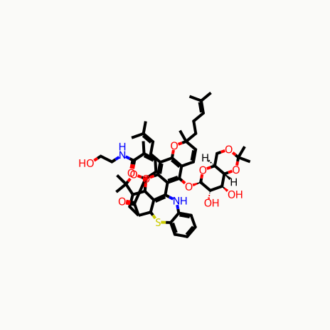 CC(C)=CCCC1(C)C=Cc2c(c(CC=C(C)C)c3c(c2O[C@H]2O[C@H]4COC(C)(C)O[C@@H]4[C@@H](O)[C@@H]2O)C2=C4C(Sc5ccccc5N2)C2CC5C(C)(C)OC(C/C=C(/C)C(=O)NCCO)(C2=O)C45O3)O1